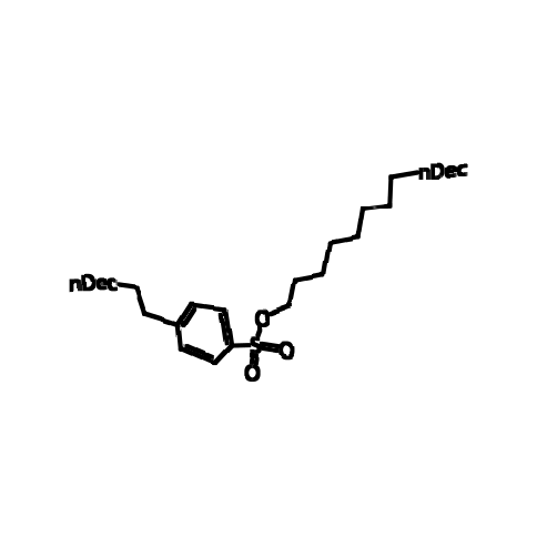 CCCCCCCCCCCCCCCCCCOS(=O)(=O)c1ccc(CCCCCCCCCCCC)cc1